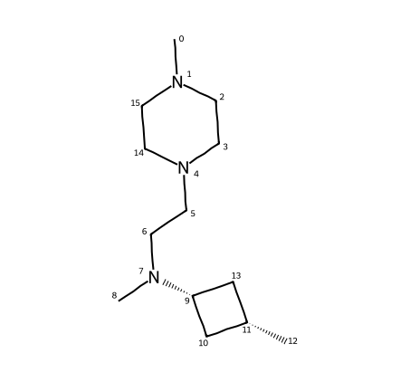 CN1CCN(CCN(C)[C@H]2C[C@@H](C)C2)CC1